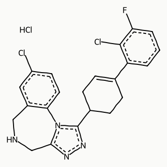 Cl.Fc1cccc(C2=CCC(c3nnc4n3-c3ccc(Cl)cc3CNC4)CC2)c1Cl